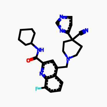 N#CC1(c2ccncn2)CCN(Cc2cc(C(=O)NC3CCCCC3)nc3c(F)cccc23)CC1